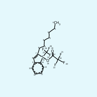 CCCCCCCC1=Cc2ccccc2S1(OC(=O)C(F)(F)F)C(F)(F)F